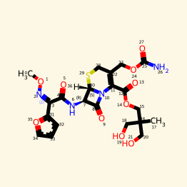 CO/N=C(\C(=O)N[C@@H]1C(=O)N2C(C(=O)OCC(C)(CO)CO)=C(COC(N)=O)CS[C@@H]12)c1ccco1